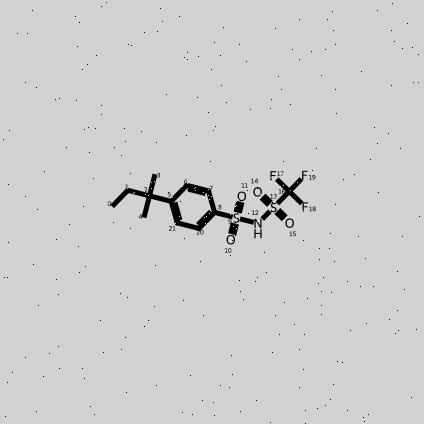 CCC(C)(C)c1ccc(S(=O)(=O)NS(=O)(=O)C(F)(F)F)cc1